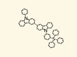 c1ccc(-n2c3ccccc3c3cc(-c4ccc5c(c4)c4ccccc4n5-c4cccc(S(c5ccccc5)(c5ccccc5)c5ccccc5)c4)ccc32)cc1